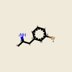 CC(=N)Cc1cccc(Br)c1